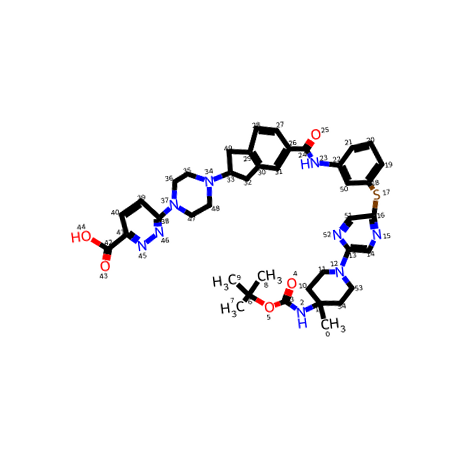 CC1(NC(=O)OC(C)(C)C)CCN(c2cnc(Sc3cccc(NC(=O)c4ccc5c(c4)CC(N4CCN(c6ccc(C(=O)O)nn6)CC4)C5)c3)cn2)CC1